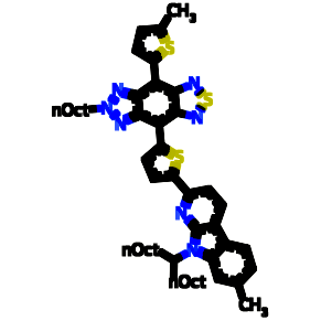 CCCCCCCCC(CCCCCCCC)n1c2cc(C)ccc2c2ccc(-c3ccc(-c4c5c(c(-c6ccc(C)s6)c6nn(CCCCCCCC)nc46)N=S=N5)s3)nc21